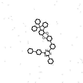 c1ccc(-c2ccc(-c3nc(-c4ccccc4)nc(-c4cccc(-c5ccc6c(c5)Oc5ccc7c(c5O6)-c5ccccc5C7(c5ccccc5)c5ccccc5)c4)n3)cc2)cc1